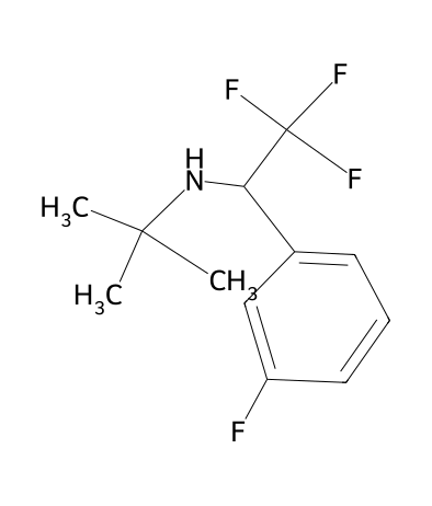 CC(C)(C)NC(c1cccc(F)c1)C(F)(F)F